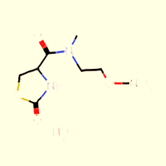 CN(CCO[N+](=O)[O-])C(=O)C1CSC(=O)N1.O